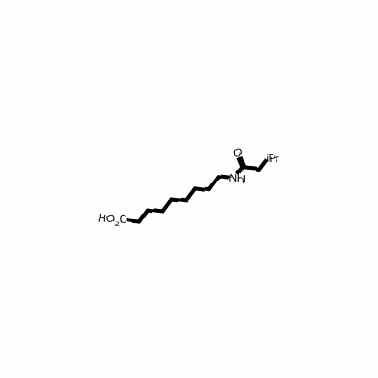 CC(C)CC(=O)NCCCCCCCCC(=O)O